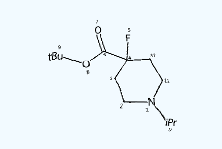 CC(C)N1CCC(F)(C(=O)OC(C)(C)C)CC1